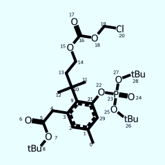 Cc1cc(CC(=O)OC(C)(C)C)c(C(C)(C)CCOC(=O)OCCl)c(OP(=O)(OC(C)(C)C)OC(C)(C)C)c1